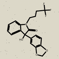 O=C1N(CCCC(F)(F)F)c2ccccc2C1(O)c1ccc2c(c1)OCO2